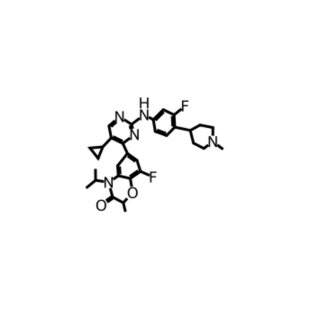 CC1Oc2c(F)cc(-c3nc(Nc4ccc(C5CCN(C)CC5)c(F)c4)ncc3C3CC3)cc2N(C(C)C)C1=O